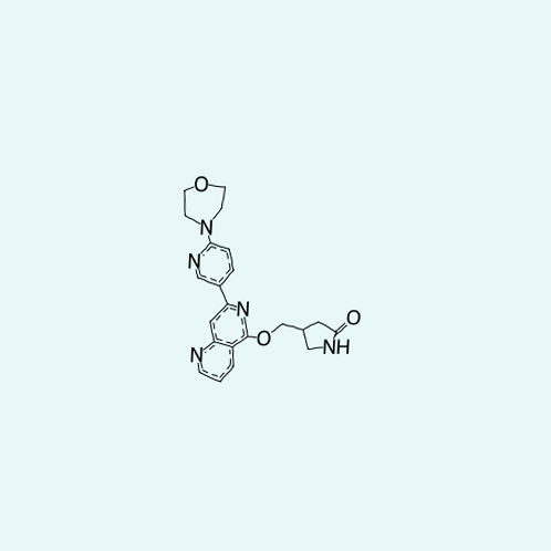 O=C1CC(COc2nc(-c3ccc(N4CCOCC4)nc3)cc3ncccc23)CN1